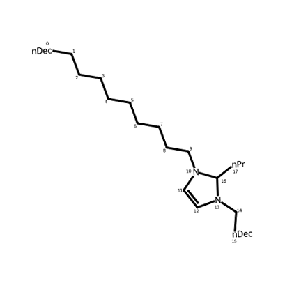 CCCCCCCCCCCCCCCCCCCN1C=CN(CCCCCCCCCCC)C1CCC